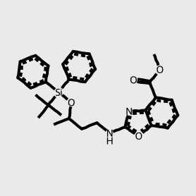 COC(=O)c1cccc2oc(NCCC(C)O[Si](c3ccccc3)(c3ccccc3)C(C)(C)C)nc12